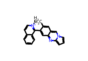 Cc1cc2cn3cccc3nc2cc1-c1c2ccccc2cc[n+]1C